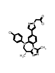 Cc1nnc2n1-c1ccc(-c3cnn(CC(=O)Cl)c3)cc1N(c1ccc(Cl)cc1)C[C@H]2C